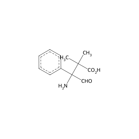 CC(C)(C(=O)O)C(N)(C=O)c1ccccc1